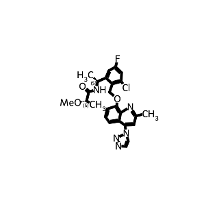 CO[C@@H](C)C(=O)N[C@@H](C)c1cc(F)cc(Cl)c1COc1cccc2c(-n3ccnn3)cc(C)nc12